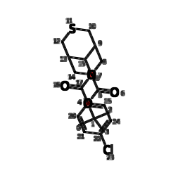 CC(C)(C)OC(=O)N1CC2CSCC(C1)C2OC(=O)c1ccc(Cl)cc1